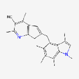 Cc1nc2c(c(C)c1C#N)C=C(Cc1c(C)c(C)c(C)c3c1c(C)cn3C)C2